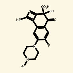 CC(=O)N1CCN(c2cc3c(cc2F)C(=O)C(S)(C(=O)O)C2=NC(S)=C23)CC1